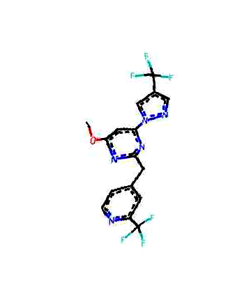 COc1cc(-n2cc(C(F)(F)F)cn2)nc(Cc2ccnc(C(F)(F)F)c2)n1